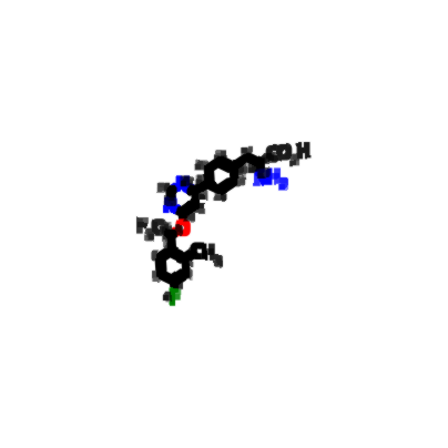 Cc1cc(F)ccc1C(Oc1cc(-c2ccc(C[C@H](N)C(=O)O)cc2)ncn1)C(F)(F)F